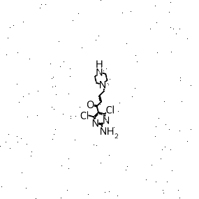 Nc1nc(Cl)c(C(=O)/C=C/CN2CCNCC2)c(Cl)n1